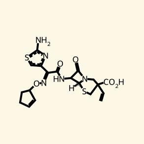 C=CC1(C(=O)O)CS[C@@H]2C(NC(=O)C(=NOC3C=CCC3)c3csc(N)n3)C(=O)N2C1